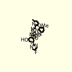 COc1cccc(OC)c1-n1c(NS(=O)(=O)[C@H]2C[C@@H](O)CN(c3ncc(F)cn3)C2)nnc1-c1cccc(C)n1